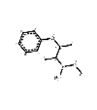 COB(O)C(C)[C@H](C)Oc1ccccc1